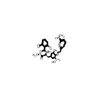 CNc1cccc(CCOc2c(C)cc(C[C@H](NC(=O)c3c(Cl)cccc3Cl)C(=O)OC)cc2C)n1.Cl